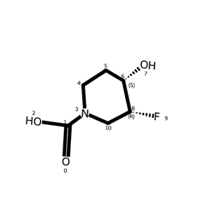 O=C(O)N1CC[C@H](O)[C@H](F)C1